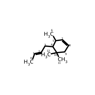 CC=CCC1C(C)C=CCC1(C)C